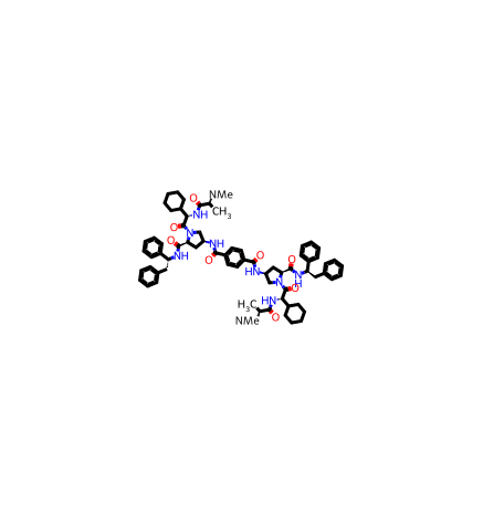 CN[C@@H](C)C(=O)N[C@H](C(=O)N1C[C@@H](NC(=O)c2ccc(C(=O)N[C@H]3C[C@@H](C(=O)N[C@H](Cc4ccccc4)c4ccccc4)N(C(=O)[C@@H](NC(=O)[C@H](C)NC)C4CCCCC4)C3)cc2)C[C@H]1C(=O)N[C@H](Cc1ccccc1)c1ccccc1)C1CCCCC1